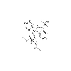 CCO[Si](C)(C=C[Si](C=C[Si](C)(C)C)(c1ccccc1)c1ccccc1)OCC